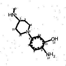 CNC1CCN(c2ccc(N)c(O)c2)CC1